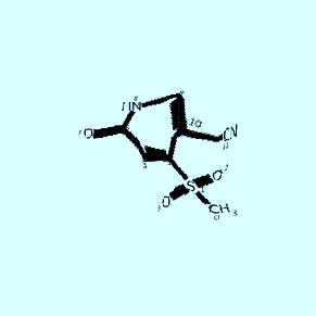 CS(=O)(=O)c1cc(=O)[nH]cc1C#N